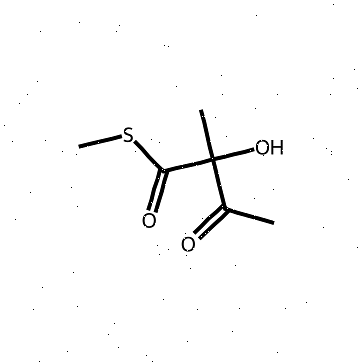 CSC(=O)C(C)(O)C(C)=O